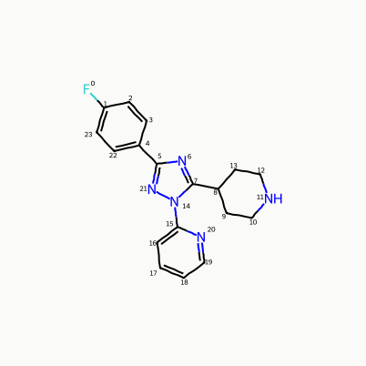 Fc1ccc(-c2nc(C3CCNCC3)n(-c3ccccn3)n2)cc1